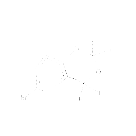 FC1(F)Oc2ccc(Br)cc2C(F)(F)O1